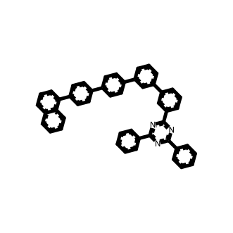 c1ccc(-c2nc(-c3ccccc3)nc(-c3cccc(-c4cccc(-c5ccc(-c6ccc(-c7cccc8ccccc78)cc6)cc5)c4)c3)n2)cc1